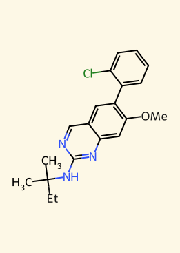 CCC(C)(C)Nc1ncc2cc(-c3ccccc3Cl)c(OC)cc2n1